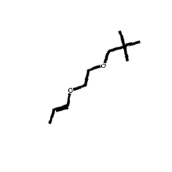 CC=COCCOCC(C)(C)C